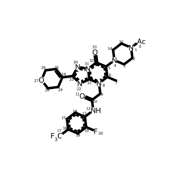 CC(=O)N1CCN(c2c(C)n(CC(=O)Nc3ccc(C(F)(F)F)cc3F)c3nc(C4=CCOCC4)nn3c2=O)CC1